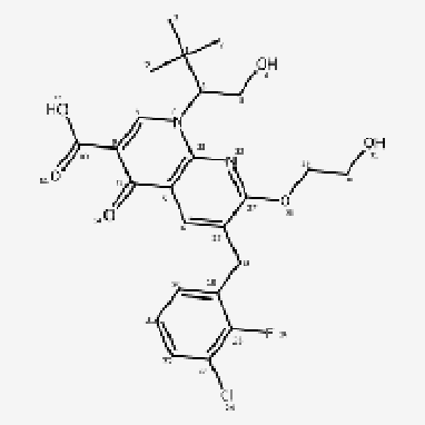 CC(C)(C)C(CO)n1cc(C(=O)O)c(=O)c2cc(Cc3cccc(Cl)c3F)c(OCCO)nc21